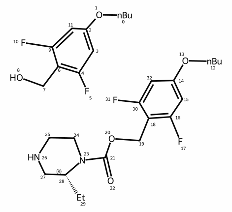 CCCCOc1cc(F)c(CO)c(F)c1.CCCCOc1cc(F)c(COC(=O)N2CCNC[C@H]2CC)c(F)c1